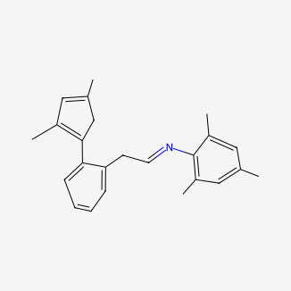 CC1=CC(C)=C(c2ccccc2CC=Nc2c(C)cc(C)cc2C)C1